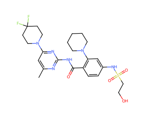 Cc1cc(N2CCC(F)(F)CC2)nc(NC(=O)c2ccc(NS(=O)(=O)CCO)cc2N2CCCCC2)n1